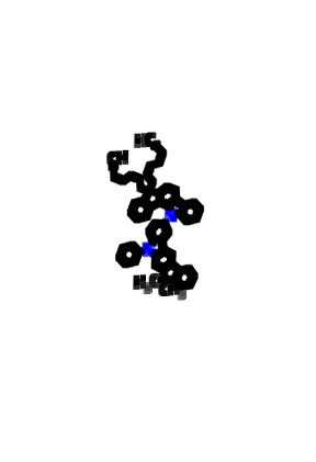 C#C/C=C\C=C/CC1(C/C=C\C=C/C#C)c2ccccc2-c2c1ccc1c3ccccc3n(-c3ccc4c(c3)c3cc5c(cc3n4-c3ccccc3)C(C)(C)c3ccccc3-5)c21